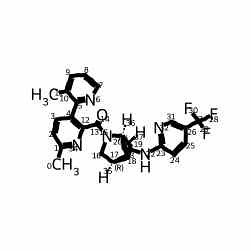 Cc1ccc(-c2ncccc2C)c(C(=O)N2C[C@@H]3CC[C@H]2[C@H](Nc2ccc(C(F)(F)F)cn2)C3)n1